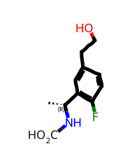 C[C@@H](NC(=O)O)c1cc(CCO)ccc1F